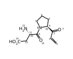 C=CC(=O)[C@@H]1CCCN1C(=O)[C@@H](N)CC(=O)O